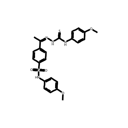 COc1ccc(NC(=S)NN=C(C)c2ccc(S(=O)(=O)Nc3ccc(OC)cc3)cc2)cc1